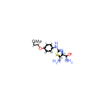 COCCOc1ccc(Nc2nc(C(N)=O)c(N)s2)cc1